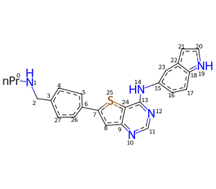 CCCNCc1ccc(-c2cc3ncnc(Nc4ccc5[nH]ccc5c4)c3s2)cc1